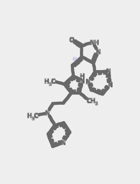 Cc1[nH]c(/C=C2/C(=O)NN=C2c2nccnn2)c(C)c1CCN(C)c1ccncc1